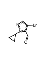 O=Cc1c(Br)cnn1C1CC1